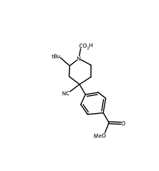 COC(=O)c1ccc(C2(C#N)CCN(C(=O)O)C(C(C)(C)C)C2)cc1